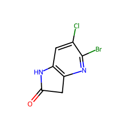 O=C1Cc2nc(Br)c(Cl)cc2N1